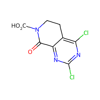 O=C(O)N1CCc2c(Cl)nc(Cl)nc2C1=O